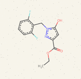 CCOC(=O)c1cc(O)n(Cc2c(F)cccc2F)n1